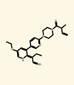 C=CC(C)C(=O)N1CCN(c2ccc(C3=CC(OCC)=CN/C3=C(\C=N)CC)cn2)CC1